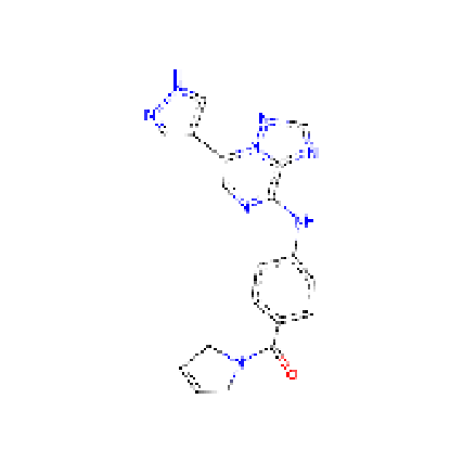 O=C(c1ccc(Nc2ncc(-c3cn[nH]c3)n3ncnc23)cc1)N1CC=CC1